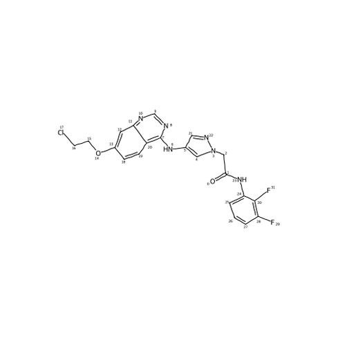 O=C(Cn1cc(Nc2ncnc3cc(OCCCl)ccc23)cn1)Nc1cccc(F)c1F